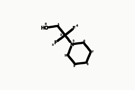 OCC(F)(F)N1CCCCC1